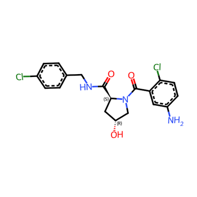 Nc1ccc(Cl)c(C(=O)N2C[C@H](O)C[C@H]2C(=O)NCc2ccc(Cl)cc2)c1